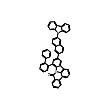 O=c1c2ccccc2c2cccc3c4cc(-c5ccc6cc(-n7c8ccccc8c8ccccc87)ccc6c5)cc(-c5ccccc5-c5ccccc5)c4n1c23